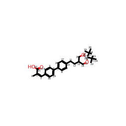 CC(=Cc1ccc(-c2ccc(CCC3CO[Si](C(C)(C)C)(C(C)(C)C)OC3)cc2)cc1)C(=O)O